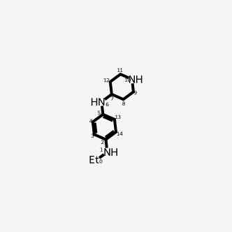 CCNc1ccc(NC2CCNCC2)cc1